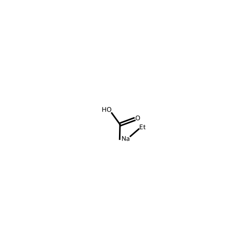 CC(=O)O.C[CH2][Na]